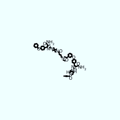 CC#CC(=O)N1C[C@@H]2C[C@H]1CN2c1nc(-c2ccc(Oc3cccc(C4CN(C/C=C/C(=O)N5CC6(C5)CN(c5nc(-c7ccc(Oc8ccccc8)cc7)c(C(N)=O)s5)C6)CCO4)c3)cc2)c(C(N)=O)s1